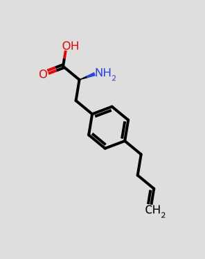 C=CCCc1ccc(C[C@H](N)C(=O)O)cc1